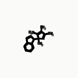 CC1=[C]C(C)(C2C=Cc3ccccc32)C(C)=C1C